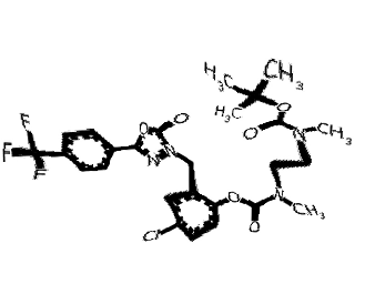 CN(CCN(C)C(=O)OC(C)(C)C)C(=O)Oc1ccc(Cl)cc1Cn1nc(-c2ccc(C(F)(F)F)cc2)oc1=O